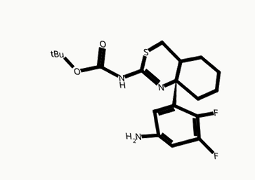 CC(C)(C)OC(=O)NC1=N[C@@]2(c3cc(N)cc(F)c3F)CCCCC2CS1